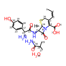 C/C=C\C1=C(C(=O)O)N2C(=O)[C@@H](NC(=O)[C@H](N)c3ccc(O)cc3)[C@H]2SC1.CC(C)C(N)=O.O